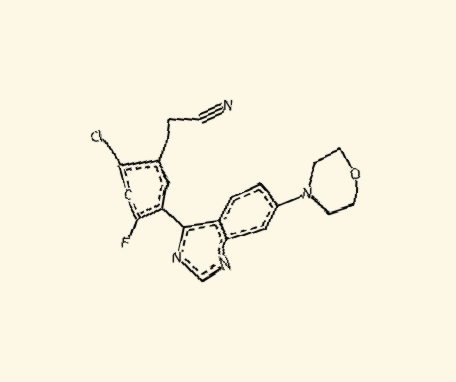 N#CCc1cc(-c2ncnc3cc(N4CCOCC4)ccc23)c(F)cc1Cl